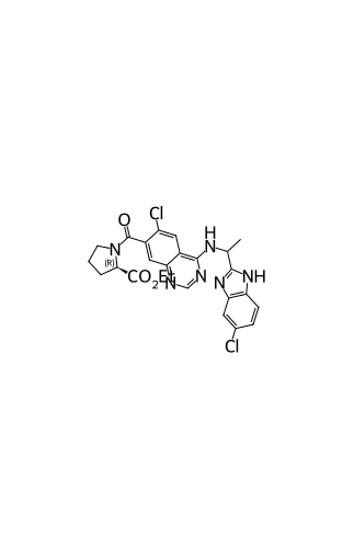 CCOC(=O)[C@H]1CCCN1C(=O)c1cc2ncnc(NC(C)c3nc4cc(Cl)ccc4[nH]3)c2cc1Cl